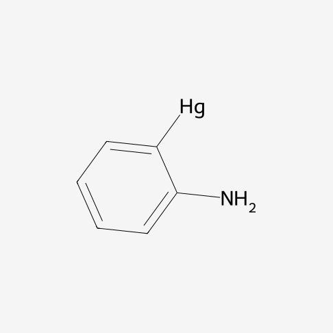 Nc1cccc[c]1[Hg]